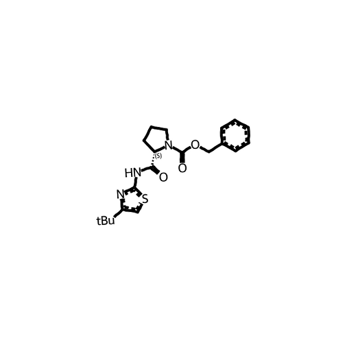 CC(C)(C)c1csc(NC(=O)[C@@H]2CCCN2C(=O)OCc2ccccc2)n1